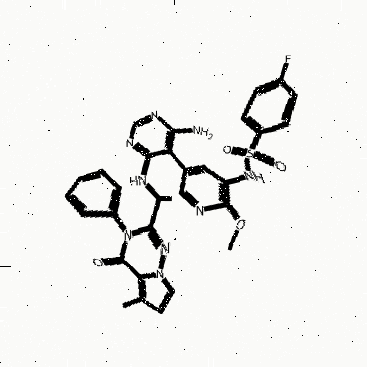 COc1ncc(-c2c(N)ncnc2NC(C)c2nn3ccc(C)c3c(=O)n2-c2ccccc2)cc1NS(=O)(=O)c1ccc(F)cc1